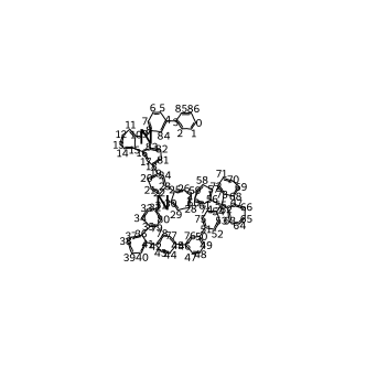 c1ccc(-c2cccc(-n3c4ccccc4c4cc(-c5ccc6c(c5)c5ccccc5n6-c5ccc(-c6ccccc6-c6ccc(-c7cccc(-c8ccc(C9(c%10ccccc%10)c%10ccccc%10-c%10ccccc%109)cc8)c7)cc6)cc5)ccc43)c2)cc1